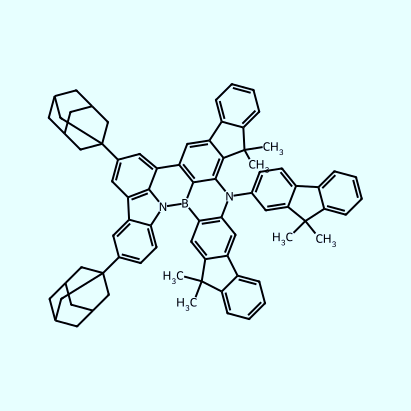 CC1(C)c2ccccc2-c2ccc(N3c4cc5c(cc4B4c6c(cc7c(c63)C(C)(C)c3ccccc3-7)-c3cc(C67CC8CC(CC(C8)C6)C7)cc6c7cc(C89CC%10CC(CC(C%10)C8)C9)ccc7n4c36)C(C)(C)c3ccccc3-5)cc21